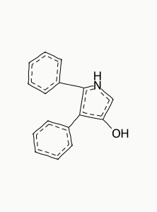 Oc1c[nH]c(-c2ccccc2)c1-c1ccccc1